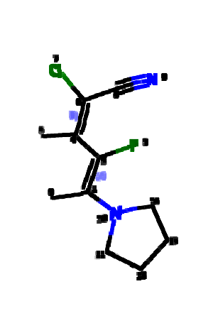 C/C(=C(F)\C(C)=C(\Cl)C#N)N1CCCC1